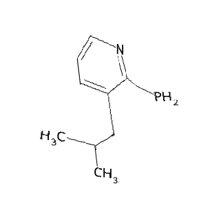 CC(C)Cc1cccnc1P